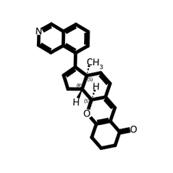 C[C@]12C=CC3=CC4=C(CCCC4=O)O[C@H]3[C@@H]1CC=C2c1cccc2cnccc12